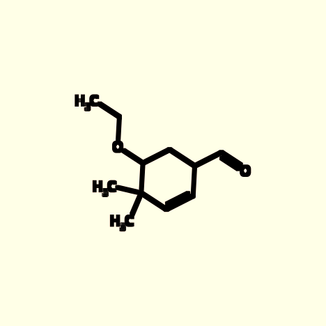 CCOC1CC(C=O)C=CC1(C)C